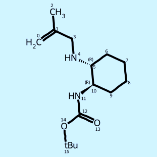 C=C(C)CN[C@@H]1CCCC[C@H]1NC(=O)OC(C)(C)C